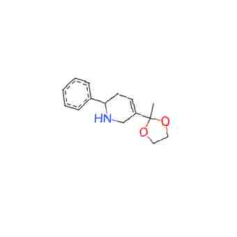 CC1(C2=CCC(c3ccccc3)NC2)OCCO1